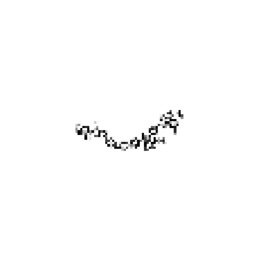 COc1ccc(F)cc1C(=O)NCc1ccc(-c2nn(-c3ccc(N4CCC(CN5CCN(c6ccc7c(c6)CN([C@H]6CCC(=O)NC6=O)C7=O)CC5)CC4)nc3)c3ncnc(N)c23)cc1